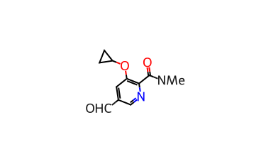 CNC(=O)c1ncc(C=O)cc1OC1CC1